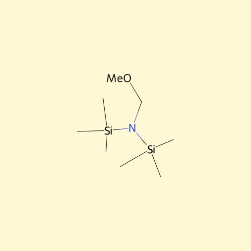 COCN([Si](C)(C)C)[Si](C)(C)C